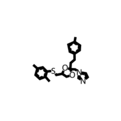 Cc1ccc(CCC2(Cn3ccnc3)OCC(CSc3cc(C)ccc3C)O2)cc1